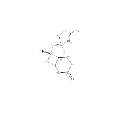 CCOC1(CC)C[C@H]2CC3OC(=O)CCC32C1